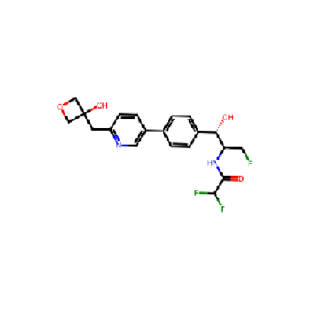 O=C(N[C@H](CF)[C@@H](O)c1ccc(-c2ccc(CC3(O)COC3)nc2)cc1)C(F)F